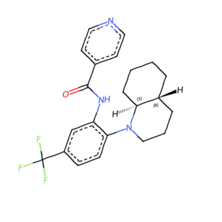 O=C(Nc1cc(C(F)(F)F)ccc1N1CCC[C@H]2CCCC[C@@H]21)c1ccncc1